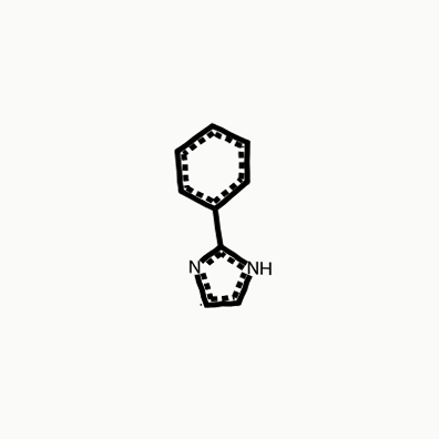 [c]1c[nH]c(-c2ccccc2)n1